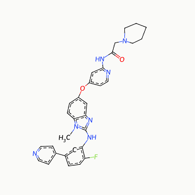 Cn1c(Nc2cc(-c3ccncc3)ccc2F)nc2cc(Oc3ccnc(NC(=O)CN4CCCCC4)c3)ccc21